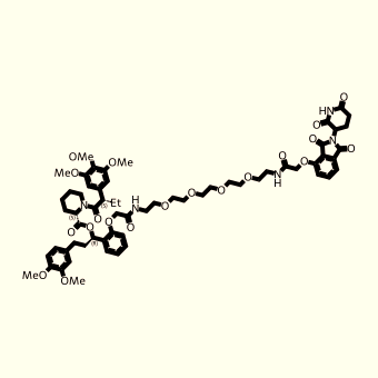 CC[C@H](C(=O)N1CCCC[C@H]1C(=O)O[C@H](CCc1ccc(OC)c(OC)c1)c1ccccc1OCC(=O)NCCOCCOCCOCCOCCNC(=O)COc1cccc2c1C(=O)N(C1CCC(=O)NC1=O)C2=O)c1cc(OC)c(OC)c(OC)c1